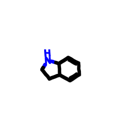 C1=CC2CCNC2C=C1